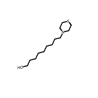 OCCCCCCCCCN1CCSCC1